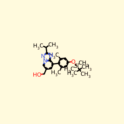 Cc1cc(O[Si](C)(C)C(C)(C)C)cc(C)c1-c1cc(CO)cn2nc(C(C)C)nc12